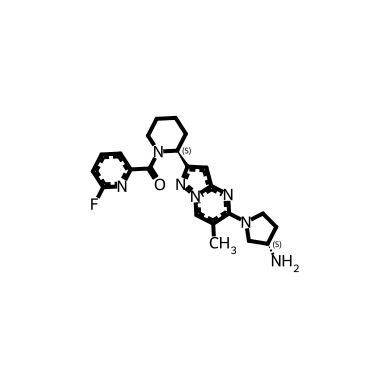 Cc1cn2nc([C@@H]3CCCCN3C(=O)c3cccc(F)n3)cc2nc1N1CC[C@H](N)C1